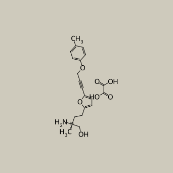 Cc1ccc(OCC#Cc2ccc(CC[C@@](C)(N)CO)o2)cc1.O=C(O)C(=O)O